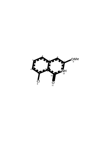 COc1cc2cccc(Cl)c2c(=O)[nH]1